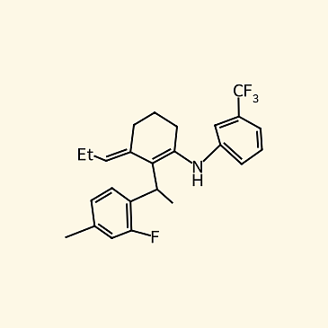 CC/C=C1\CCCC(Nc2cccc(C(F)(F)F)c2)=C1C(C)c1ccc(C)cc1F